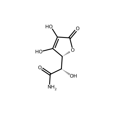 NC(=O)[C@@H](O)[C@H]1OC(=O)C(O)=C1O